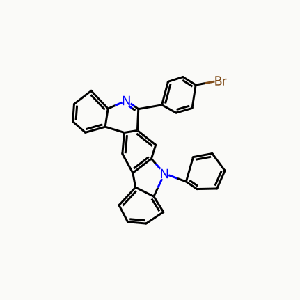 Brc1ccc(-c2nc3ccccc3c3cc4c5ccccc5n(-c5ccccc5)c4cc23)cc1